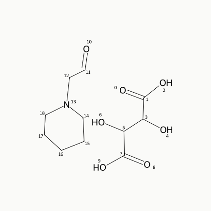 O=C(O)C(O)C(O)C(=O)O.O=CCN1CCCCC1